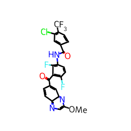 COc1cnc2ccc(C(=O)c3c(F)ccc(NC(=O)c4ccc(C(F)(F)F)c(Cl)c4)c3F)cc2n1